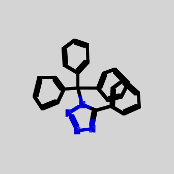 [c]1cccc(-c2nnnn2C(c2ccccc2)(c2ccccc2)c2ccccc2)c1